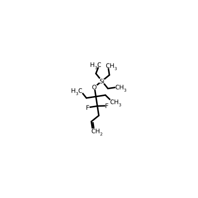 C=CCC(F)(F)C(CC)(CC)O[Si](CC)(CC)CC